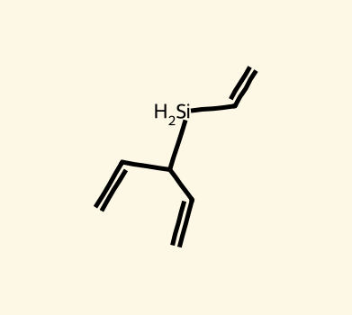 C=C[SiH2]C(C=C)C=C